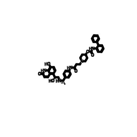 C[C@H](NC[C@H](O)c1ccc(O)c2[nH]c(=O)ccc12)c1ccc(NC(=O)CCN2CCC(OC(=O)Nc3ccccc3-c3ccccc3)CC2)cc1